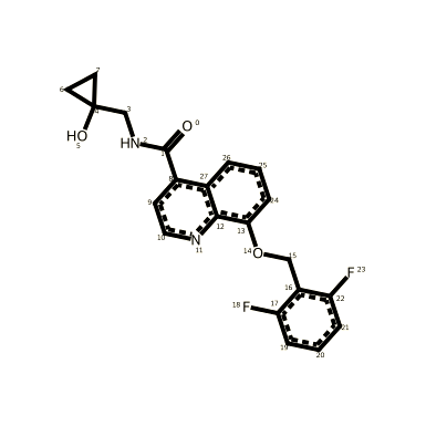 O=C(NCC1(O)CC1)c1ccnc2c(OCc3c(F)cccc3F)cccc12